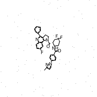 Cc1ccn(-c2ccc(C(=O)N[C@@H]3CCC(F)(F)C[C@H]3C(=O)N3CCc4c(-c5ccccc5)nc5ccc(F)cc5c43)cc2)n1